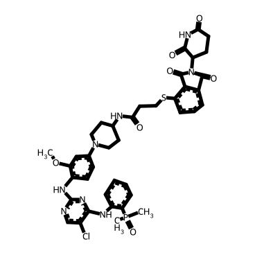 COc1cc(N2CCC(NC(=O)CCSc3cccc4c3C(=O)N(C3CCC(=O)NC3=O)C4=O)CC2)ccc1Nc1ncc(Cl)c(Nc2ccccc2P(C)(C)=O)n1